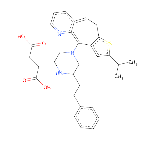 CC(C)c1cc2c(s1)CC=c1cccnc1=C2N1CCNC(CCc2ccccc2)C1.O=C(O)CCC(=O)O